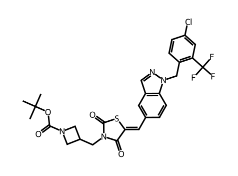 CC(C)(C)OC(=O)N1CC(CN2C(=O)SC(=Cc3ccc4c(cnn4Cc4ccc(Cl)cc4C(F)(F)F)c3)C2=O)C1